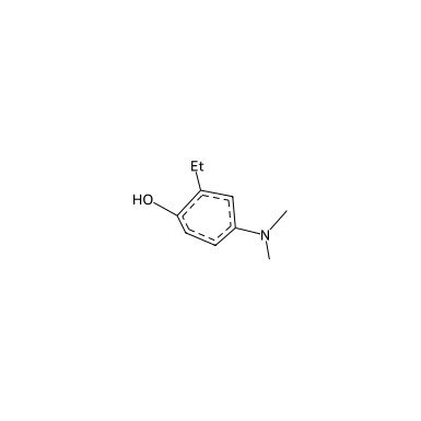 CCc1cc(N(C)C)ccc1O